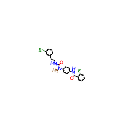 O=C(Nc1ccc(N(S)C(=O)NCCc2cccc(Br)c2)cc1)c1ccccc1F